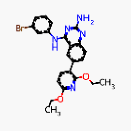 CCOc1ccc(-c2ccc3nc(N)nc(Nc4cccc(Br)c4)c3c2)c(OCC)n1